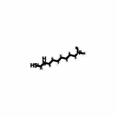 CN(C)CCCCCCCNCS